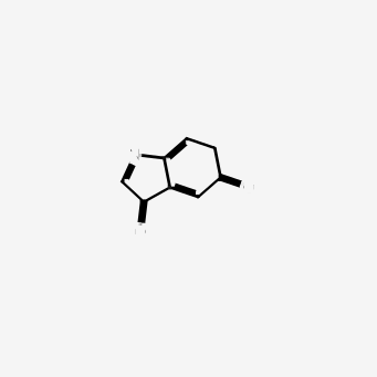 O=C1C=C2C(=O)C=NC2=CC1